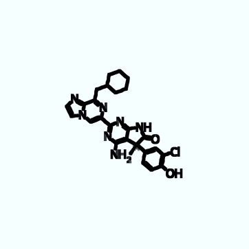 C[C@]1(c2ccc(O)c(Cl)c2)C(=O)Nc2nc(-c3cn4ccnc4c(CC4CCCCC4)n3)nc(N)c21